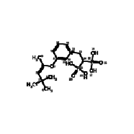 C/C(=C/C(C)(C)C)Oc1ccc[n+](CC(P(=O)(O)O)P(=O)(O)O)c1